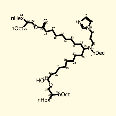 CCCCCCCCCCN(CCCn1ccnc1)C(CCCCCCCCC(=O)OCC(CCCCCC)CCCCCCCC)CCCCCCCC[C@@H](O)OCC(CCCCCC)CCCCCCCC